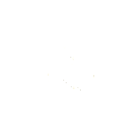 COC(=O)c1cc(Br)nc(-c2ccc(OC)c(Cl)c2)c1N=[N+]=[N-]